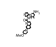 COC1CCN(c2ccc3ccc(C(=O)Nc4cnccc4N4CC(C)CC(N)C4)nc3c2)CC1